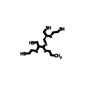 CCCSC(SC[C@@H](CS)SCCS)C(CS)SCCS